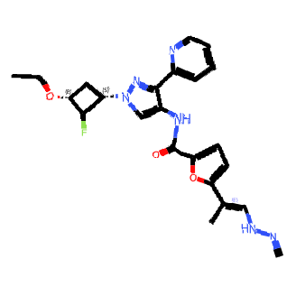 C=NN/C=C(\C)c1ccc(C(=O)Nc2cn([C@H]3C[C@@H](OCC)C3F)nc2-c2ccccn2)o1